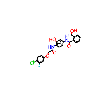 O=C(COc1ccc(Cl)c(F)c1)NC12CCC(NC(=O)c3ccccc3CO)(CC1)CC2O